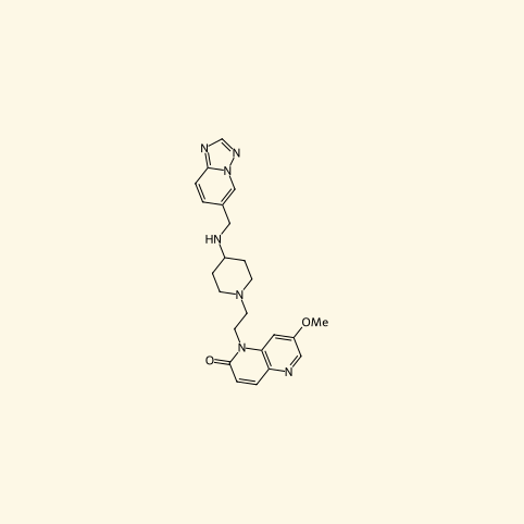 COc1cnc2ccc(=O)n(CCN3CCC(NCc4ccc5ncnn5c4)CC3)c2c1